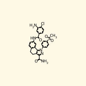 CS(=O)(=O)c1ccc(-n2nc(C(N)=O)c3c2-c2cc(NC(=O)c4ccc(Cl)c(N)c4)ccc2CC3)cc1